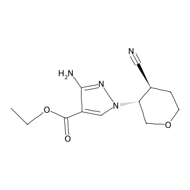 CCOC(=O)c1cn([C@H]2COCC[C@@H]2C#N)nc1N